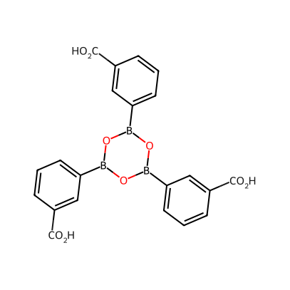 O=C(O)c1cccc(B2OB(c3cccc(C(=O)O)c3)OB(c3cccc(C(=O)O)c3)O2)c1